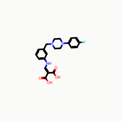 O=C(O)C(=CNc1cccc(CN2CCN(c3ccc(F)cc3)CC2)c1)C(=O)O